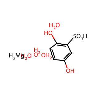 O.O.O.O.O=S(=O)(O)c1cc(O)ccc1O.[MgH2]